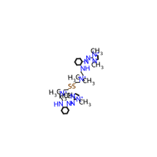 Cn1cc[n+](C)c1/N=N/c1ccccc1NCC[N+](C)(C)CCSSCC[N+](C)(C)CCNc1ccccc1/N=N/c1n(C)cc[n+]1C